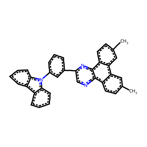 Cc1ccc2c(c1)c1cc(C)ccc1c1nc(-c3cccc(-n4c5ccccc5c5ccccc54)c3)cnc21